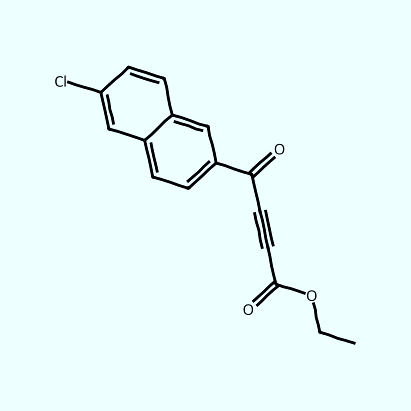 CCOC(=O)C#CC(=O)c1ccc2cc(Cl)ccc2c1